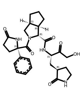 O=C1CC[C@@](C(=O)N2C[C@H]3CCC[C@H]3[C@@H]2C(=O)N[C@@H](C[C@H]2CCNC2=O)C(=O)CO)(c2ccccc2)N1